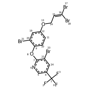 FC(F)(F)c1cnc(Oc2ccc(OCC=C(Br)Br)cc2Br)c(Br)c1